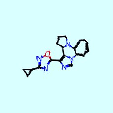 c1ccc2c(c1)N1CCCC1c1c(-c3nc(C4CC4)no3)ncn1-2